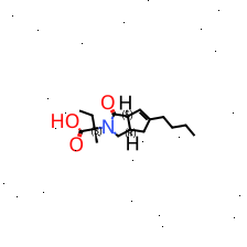 CCCCC1=C[C@@H]2C(=O)N([C@@](C)(CC)C(=O)O)C[C@@H]2C1